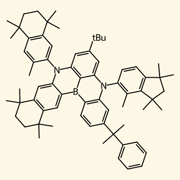 Cc1cc2c(cc1N1c3cc4c(cc3B3c5ccc(C(C)(C)c6ccccc6)cc5N(c5ccc6c(c5C)C(C)(C)CC6(C)C)c5cc(C(C)(C)C)cc1c53)C(C)(C)CCC4(C)C)C(C)(C)CCC2(C)C